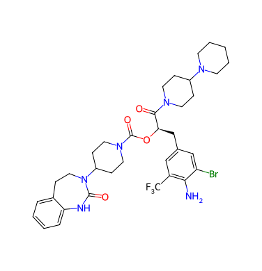 Nc1c(Br)cc(C[C@@H](OC(=O)N2CCC(N3CCc4ccccc4NC3=O)CC2)C(=O)N2CCC(N3CCCCC3)CC2)cc1C(F)(F)F